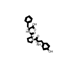 N[C@@H](Cc1ccc(O)cc1)C(=O)N1CCC[C@H]1C(=O)N[C@@H](Cc1ccccc1)C(=O)O